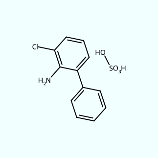 Nc1c(Cl)cccc1-c1ccccc1.O=S(=O)(O)O